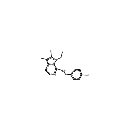 CCn1c(C)c(C)c2ccnc(NCc3ccc(F)cc3)c21